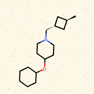 C[C@H]1C[C@H](CN2CCC(OC3CCCCC3)CC2)C1